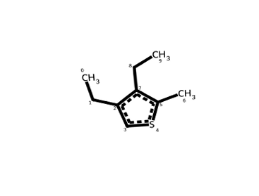 CCc1csc(C)c1CC